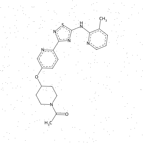 CC(=O)N1CCC(Oc2ccc(-c3nsc(Nc4ncccc4C)n3)nc2)CC1